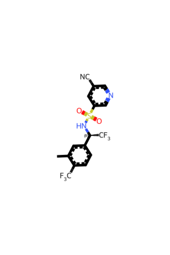 Cc1cc([C@@H](NS(=O)(=O)c2cncc(C#N)c2)C(F)(F)F)ccc1C(F)(F)F